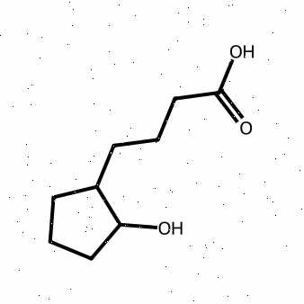 O=C(O)CCCC1CCCC1O